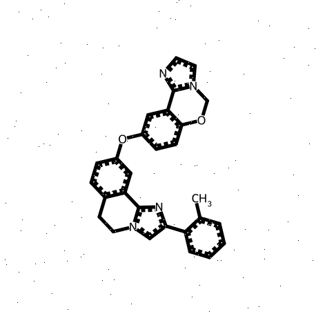 Cc1ccccc1-c1cn2c(n1)-c1cc(Oc3ccc4c(c3)-c3nccn3CO4)ccc1CC2